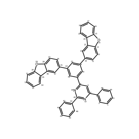 c1ccc(-c2cc(-c3cc(-c4ccc5oc6ccccc6c5c4)cc(-c4ccc5oc6ccccc6c5c4)c3)nc(-c3ccccc3)n2)cc1